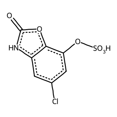 O=c1[nH]c2cc(Cl)cc(OS(=O)(=O)O)c2o1